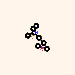 O=P(c1ccccc1)(c1ccccc1)c1cccc(-c2ccc(-c3nc4c5ccccc5ccc4c4c3sc3ccccc34)cc2)c1